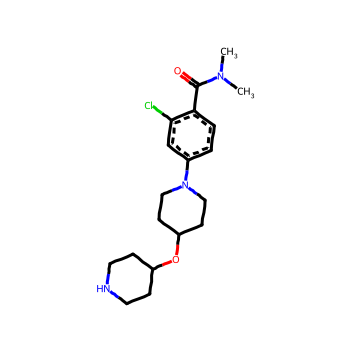 CN(C)C(=O)c1ccc(N2CCC(OC3CCNCC3)CC2)cc1Cl